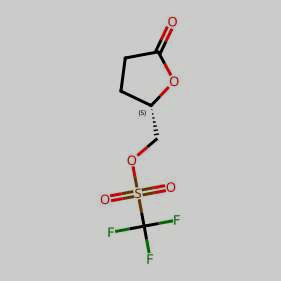 O=C1CC[C@@H](COS(=O)(=O)C(F)(F)F)O1